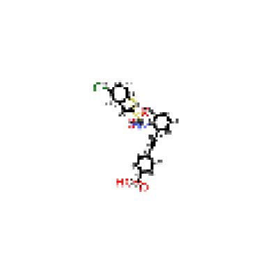 O=C(O)c1ccc(C#Cc2ccccc2NS(=O)(=O)c2cc3c(s2)CCC(Cl)=C3)cc1